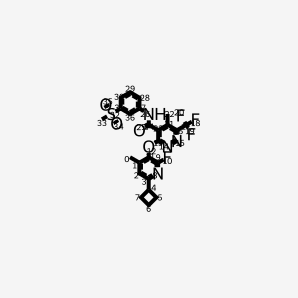 Cc1cc(C2CCC2)nc(F)c1Oc1nnc(C(F)(F)F)c(C)c1C(=O)Nc1cccc(S(C)(=O)=O)c1